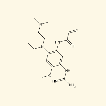 C=CC(=O)Nc1cc(NC(=N)N)c(OC)cc1N(CC)CCN(C)C